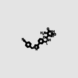 C[C@@H](NC(=O)c1[nH]c(=O)[nH]c(=O)c1N)c1cccc(-c2cnn(Cc3ccc(C#N)cc3)c2)c1